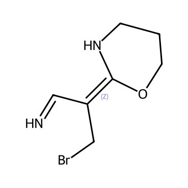 N=C/C(CBr)=C1\NCCCO1